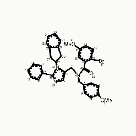 COc1ccc(CN(Cc2cnc(-c3ccccc3)n2C2Cc3ccccc3C2)C(=O)c2cc(OC)ccc2Br)cc1